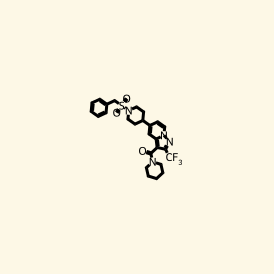 O=C(c1c(C(F)(F)F)nn2ccc(C3CCN(S(=O)(=O)Cc4ccccc4)CC3)cc12)N1CCCCC1